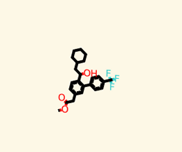 COC(=O)Cc1ccc(C(O)CC2CCCCC2)c(-c2ccc(C(F)(F)F)cc2)c1